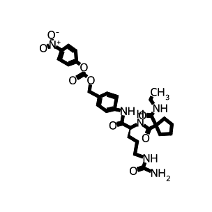 CCNC(=O)C1(C(=O)N[C@@H](CCCNC(N)=O)C(=O)Nc2ccc(COC(=O)Oc3ccc([N+](=O)[O-])cc3)cc2)CCCC1